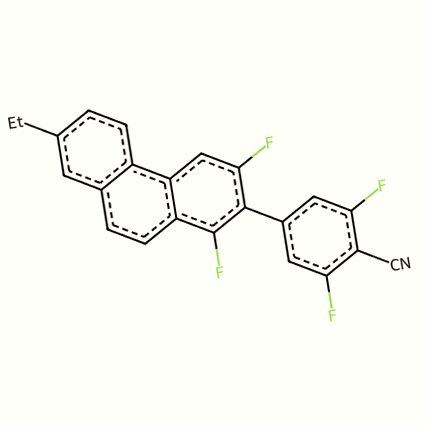 CCc1ccc2c(ccc3c(F)c(-c4cc(F)c(C#N)c(F)c4)c(F)cc32)c1